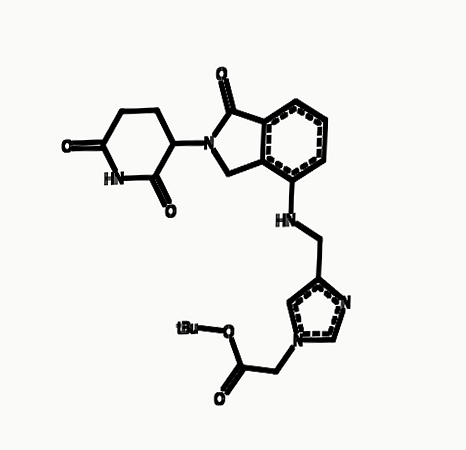 CC(C)(C)OC(=O)Cn1cnc(CNc2cccc3c2CN(C2CCC(=O)NC2=O)C3=O)c1